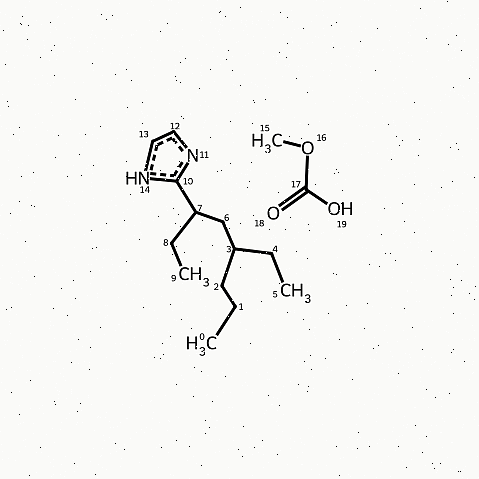 CCCC(CC)CC(CC)c1ncc[nH]1.COC(=O)O